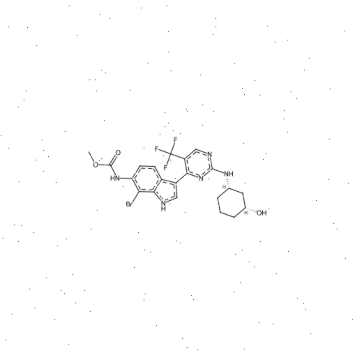 COC(=O)Nc1ccc2c(-c3nc(N[C@H]4CCC[C@@H](O)C4)ncc3C(F)(F)F)c[nH]c2c1Br